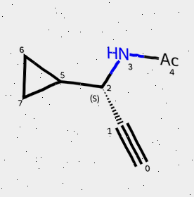 C#C[C@@H](NC(C)=O)C1CC1